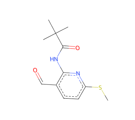 CSc1ccc(C=O)c(NC(=O)C(C)(C)C)n1